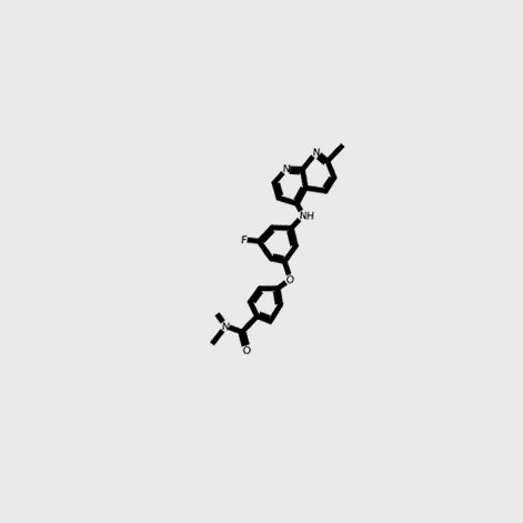 Cc1ccc2c(Nc3cc(F)cc(Oc4ccc(C(=O)N(C)C)cc4)c3)ccnc2n1